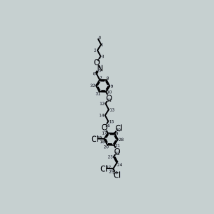 CCCCON=Cc1ccc(OCCCCOc2c(Cl)cc(OC=CC(Cl)Cl)cc2Cl)cc1